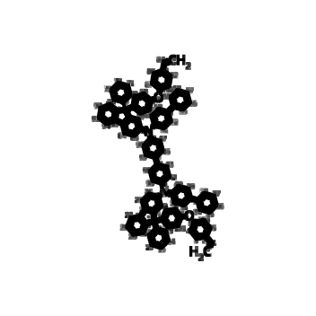 C=Cc1ccc(Oc2ccc(C3(c4ccccc4)c4ccccc4-c4ccc(N(c5ccc(-c6ccccc6)cc5)c5ccc(-c6ccc(N(c7ccc(-c8ccccc8)cc7)c7ccc8c(c7)[C@@](c7ccccc7)(c7ccc(Oc9ccc(C=C)cc9)cc7)c7ccccc7-8)cc6)cc5)cc43)cc2)cc1